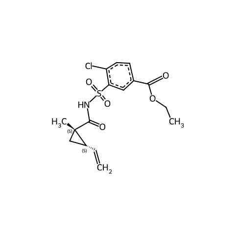 C=C[C@@H]1C[C@]1(C)C(=O)NS(=O)(=O)c1cc(C(=O)OCC)ccc1Cl